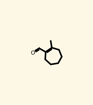 CC1=C([C]=O)CCCCC1